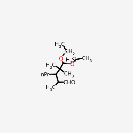 CCCC(C(C)C=O)C(C)(C)C(O[SiH2]C)O[SiH2]C